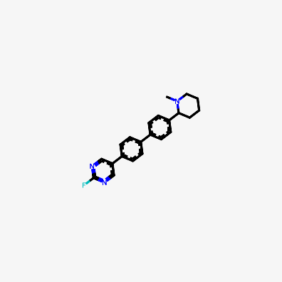 CN1CCCCC1c1ccc(-c2ccc(-c3cnc(F)nc3)cc2)cc1